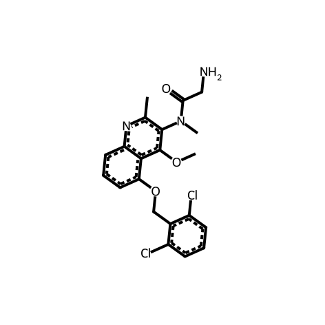 COc1c(N(C)C(=O)CN)c(C)nc2cccc(OCc3c(Cl)cccc3Cl)c12